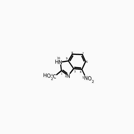 O=C(O)c1nc2c([N+](=O)[O-])cccc2[nH]1